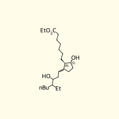 CCCCC(CC)C(O)CC=C1CC[C@H](O)[C@@H]1CCCCCCC(=O)OCC